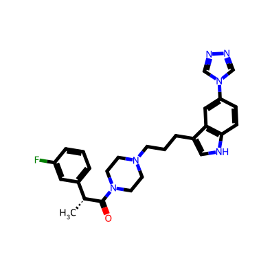 C[C@@H](C(=O)N1CCN(CCCc2c[nH]c3ccc(-n4cnnc4)cc23)CC1)c1cccc(F)c1